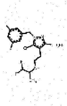 CCOC(=O)c1nn(Cc2cc(F)cc(F)c2)c(Cl)c1CCNC(C)C(F)F